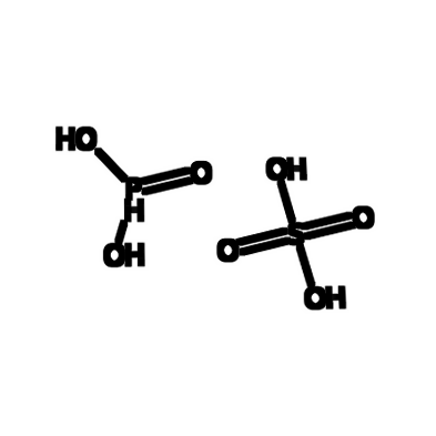 O=S(=O)(O)O.O=[PH](O)O